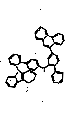 C1=Cc2c(c3ccccc3n2-c2ccccc2-c2ccc(Nc3cc(-c4cc5ccccc5c5ccccc45)ccc3-c3ccccc3)cc2)CC1